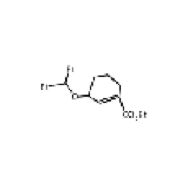 CCOC(=O)C1=CC(OC(CC)CC)CCC1